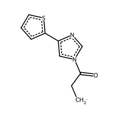 [CH2]CC(=O)n1cnc(-c2cccs2)c1